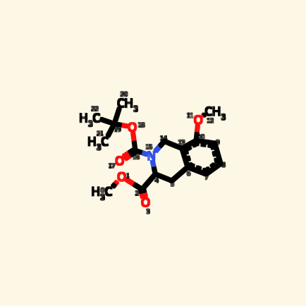 COC(=O)C1Cc2cccc(OC)c2CN1C(=O)OC(C)(C)C